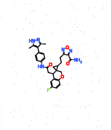 Cc1n[nH]c(C)c1-c1ccc(NC(=O)CC2c3cc(F)ccc3OCC23CC3CCc2nonc2C(N)=O)cc1